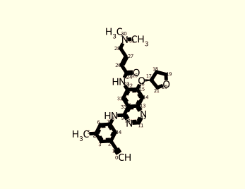 C#Cc1cc(C)cc(Nc2ncnc3cc(O[C@H]4CCOC4)c(NC(=O)C=CCN(C)C)cc23)c1